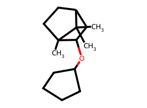 CC1(C)C2CCC1(C)C(OC1CCCC1)C2